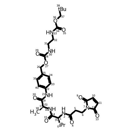 CC(C)[C@H](NC(=O)CCN1C(=O)C=CC1=O)C(=O)N[C@@H](C)C(=O)Nc1ccc(COC(=O)NCCNC(=O)OCC(C)(C)C)cc1